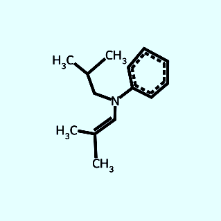 CC(C)=CN(CC(C)C)c1ccccc1